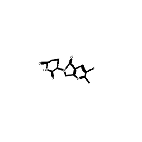 Cc1nc2c(cc1F)C(=O)N(C1CCC(=O)NC1=O)C2